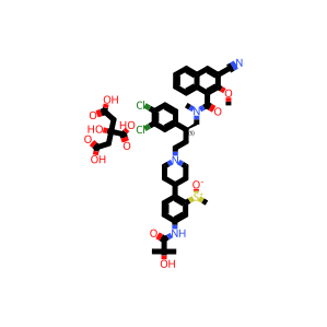 COc1c(C#N)cc2ccccc2c1C(=O)N(C)C[C@@H](CCN1CCC(c2ccc(NC(=O)C(C)(C)O)cc2[S+](C)[O-])CC1)c1ccc(Cl)c(Cl)c1.O=C(O)CC(O)(CC(=O)O)C(=O)O